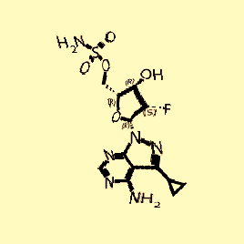 Nc1ncnc2c1c(C1CC1)nn2[C@@H]1O[C@H](COS(N)(=O)=O)[C@@H](O)[C@@H]1F